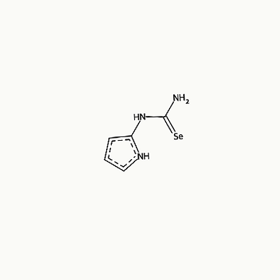 NC(=[Se])Nc1ccc[nH]1